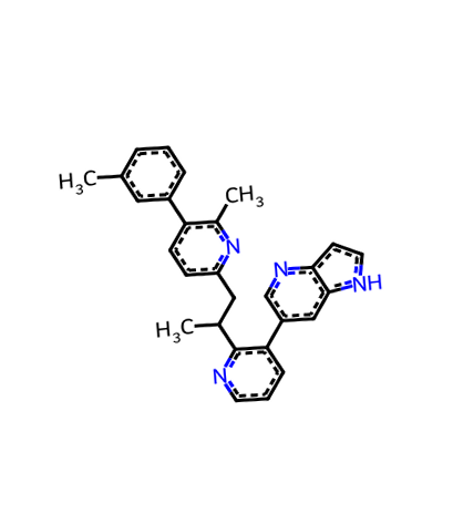 Cc1cccc(-c2ccc(CC(C)c3ncccc3-c3cnc4cc[nH]c4c3)nc2C)c1